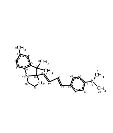 Cc1ccc2c(c1)C(C)(C)C1(C=CC=Cc3ccc(N(C)C)cc3)OCCN21